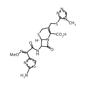 CO/N=C(/C(=O)NC1C(=O)N2C(C(=O)O)=C(CSc3nncn3C)CS[C@H]12)c1csc(N)n1